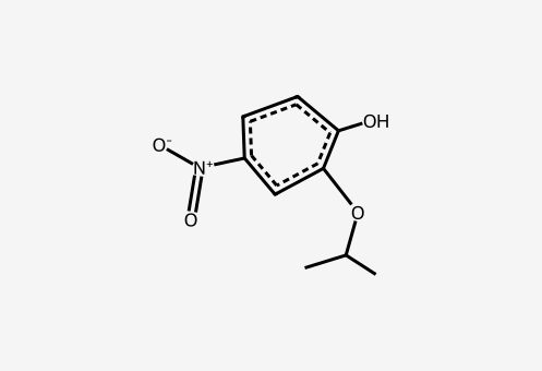 CC(C)Oc1cc([N+](=O)[O-])ccc1O